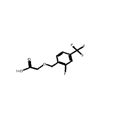 O=C(O)COCc1ccc(C(F)(F)F)cc1F